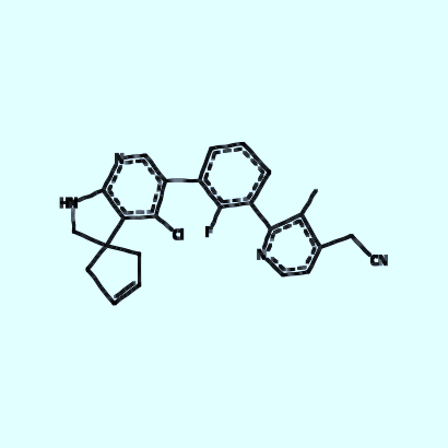 Cc1c(CC#N)ccnc1-c1cccc(-c2cnc3c(c2Cl)C2(CC=CC2)CN3)c1F